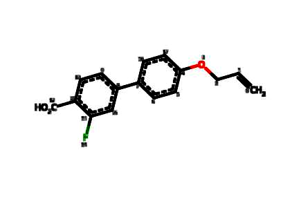 C=CCOc1ccc(-c2ccc(C(=O)O)c(F)c2)cc1